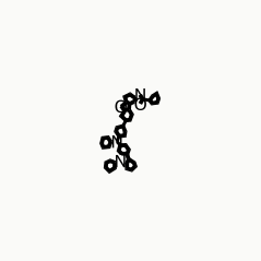 c1ccc(-c2nc3ccc4oc5cc(-c6ccc(N(c7ccccc7)c7ccc8c9ccccc9n(-c9ccccc9)c8c7)cc6)ccc5c4c3o2)cc1